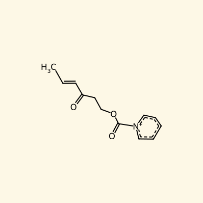 CC=CC(=O)CCOC(=O)[n+]1ccccc1